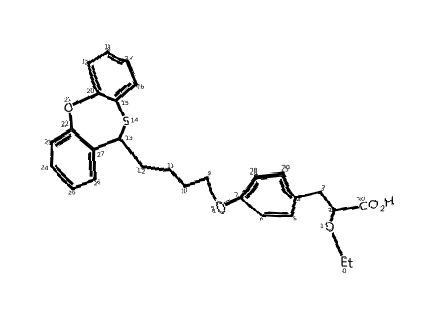 CCOC(Cc1ccc(OCCCCC2Sc3ccccc3Oc3ccccc32)cc1)C(=O)O